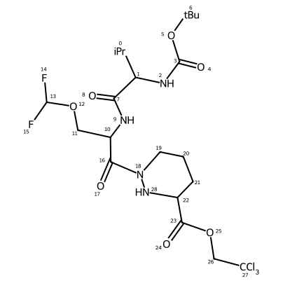 CC(C)C(NC(=O)OC(C)(C)C)C(=O)NC(COC(F)F)C(=O)N1CCCC(C(=O)OCC(Cl)(Cl)Cl)N1